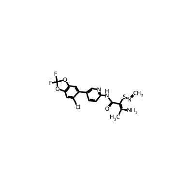 C=NS/C(C(=O)Nc1ccc(-c2cc3c(cc2Cl)OC(F)(F)O3)cn1)=C(/C)N